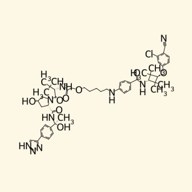 CC(C)(C)[C@H](NC(=O)COCCCCCNc1ccc(C(=O)N[C@H]2C(C)(C)[C@H](Oc3ccc(C#N)c(Cl)c3)C2(C)C)cc1)C(=O)N1C[C@H](O)C[C@H]1C(=O)N[C@@](C)(O)c1ccc(-c2c[nH]nn2)cc1